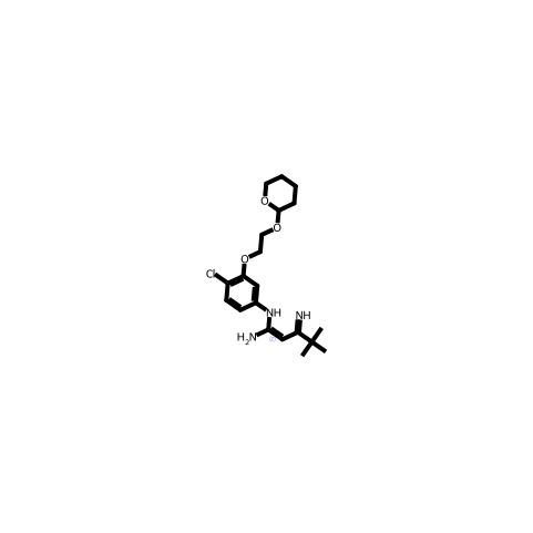 CC(C)(C)C(=N)/C=C(/N)Nc1ccc(Cl)c(OCCOC2CCCCO2)c1